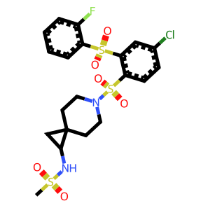 CS(=O)(=O)NC1CC12CCN(S(=O)(=O)c1ccc(Cl)cc1S(=O)(=O)c1ccccc1F)CC2